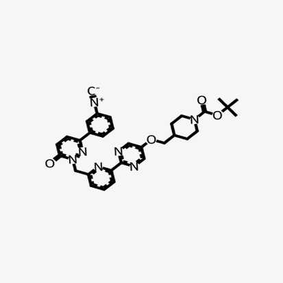 [C-]#[N+]c1cccc(-c2ccc(=O)n(Cc3cccc(-c4ncc(OCC5CCN(C(=O)OC(C)(C)C)CC5)cn4)n3)n2)c1